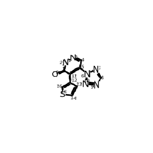 O=C1[N]N=CC(n2ncnn2)=C1c1ccsc1